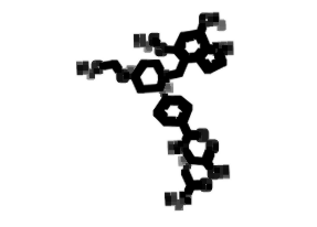 CCO[C@@H]1CCN(Cc2c(OC)cc(C)c3[nH]ccc23)[C@H](c2ccc(C(=O)N[C@@H](CC(N)=O)C(=O)O)cc2)C1